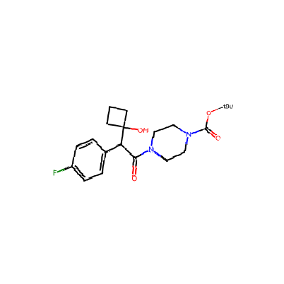 CC(C)(C)OC(=O)N1CCN(C(=O)C(c2ccc(F)cc2)C2(O)CCC2)CC1